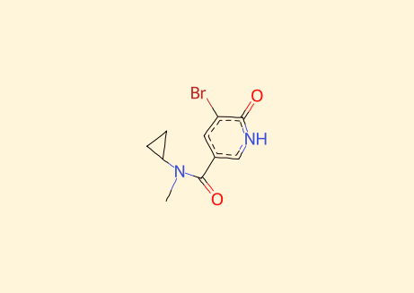 CN(C(=O)c1c[nH]c(=O)c(Br)c1)C1CC1